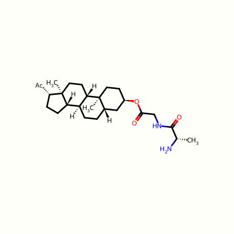 CC(=O)[C@H]1CC[C@H]2[C@@H]3CC[C@H]4C[C@H](OC(=O)CNC(=O)[C@H](C)N)CC[C@]4(C)[C@H]3CC[C@]12C